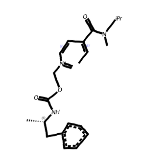 C=[N+](/C=C\C(=C/C)C(=O)N(C)C(C)C)COC(=O)N[C@@H](C)Cc1ccccc1